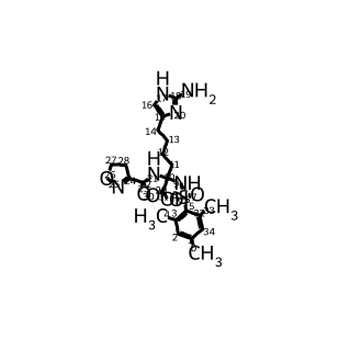 Cc1cc(C)c(S(=O)(=O)NC(CCCCc2c[nH]c(N)n2)(NC(=O)C2=NOCC2)C(=O)O)c(C)c1